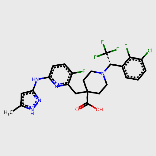 Cc1cc(Nc2ccc(F)c(CC3(C(=O)O)CCN([C@@H](c4cccc(Cl)c4F)C(F)(F)F)CC3)n2)n[nH]1